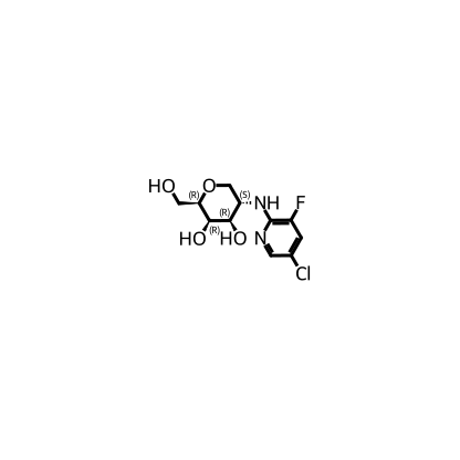 OC[C@H]1OC[C@H](Nc2ncc(Cl)cc2F)[C@@H](O)[C@H]1O